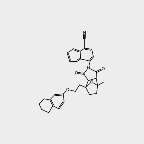 CC12CCC(CCOc3ccc4c(c3)CCCC4)(O1)C1C(=O)N(c3ccc(C#N)c4ccccc34)C(=O)C12